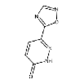 O=c1ccc(-c2ncno2)n[nH]1